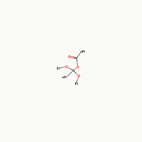 CCCC(=O)O[Si](CCC)(OCC)OCC